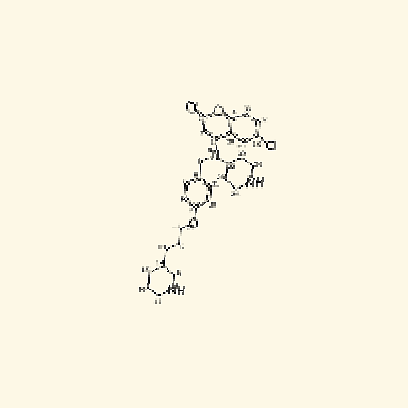 O=c1cc(N(Cc2ccc(OCCCC3CCCNC3)cc2)C2CCNCC2)c2cc(Cl)ccc2o1